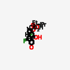 CCC(OC(=O)O[C@]1(C(=O)O)[C@H](C)C[C@H]2[C@@H]3C[C@H](F)C4=CC(=O)C=C[C@]4(C)[C@@]3(F)[C@@H](O)C[C@@]21C)C(C)C